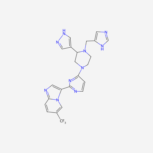 FC(F)(F)c1ccc2ncc(-c3nccc(N4CCN(Cc5cnc[nH]5)C(c5cn[nH]c5)C4)n3)n2c1